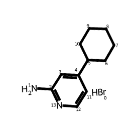 Br.Nc1cc(C2CCCCC2)ccn1